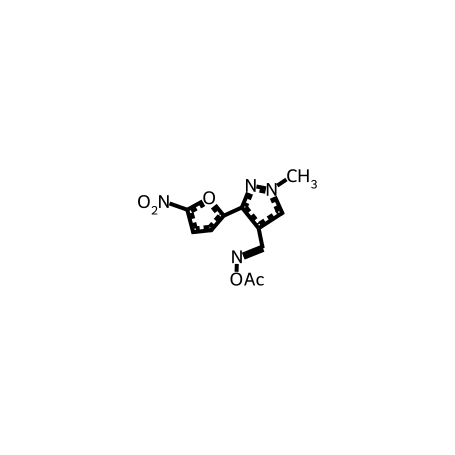 CC(=O)ON=Cc1cn(C)nc1-c1ccc([N+](=O)[O-])o1